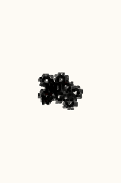 O=P1(n2c3ccncc3c3cc4c(cc32)C(c2ccccc2)(c2ccccc2)c2ccccc2-4)N(c2ccccc2)c2ccccc2N1c1ccccc1